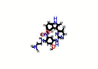 COc1cc(N(C)CCN(C)C)c([N+](=O)[O-])cc1Nc1ncc(C)c(-c2c(C)[nH]c3ccccc23)n1